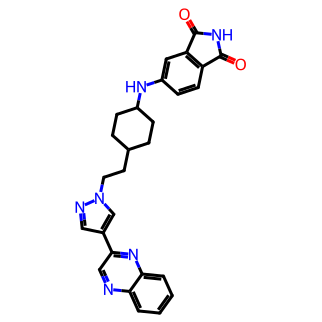 O=C1NC(=O)c2cc(NC3CCC(CCn4cc(-c5cnc6ccccc6n5)cn4)CC3)ccc21